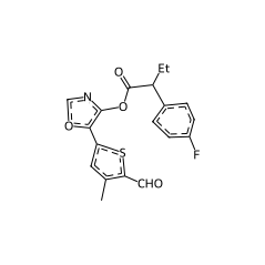 CCC(C(=O)Oc1ncoc1-c1cc(C)c(C=O)s1)c1ccc(F)cc1